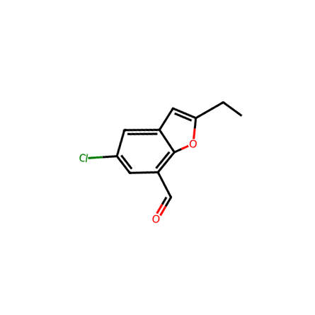 CCc1cc2cc(Cl)cc(C=O)c2o1